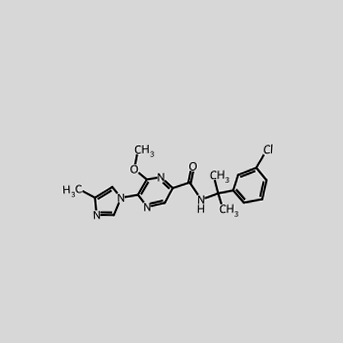 COc1nc(C(=O)NC(C)(C)c2cccc(Cl)c2)cnc1-n1cnc(C)c1